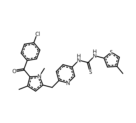 Cc1csc(NC(=S)Nc2ccc(Cc3cc(C)c(C(=O)c4ccc(Cl)cc4)n3C)nc2)c1